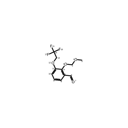 COCOc1c(C=O)cccc1OCC(F)(F)F